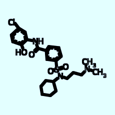 CN(C)CCCN(C1CCCCC1)S(=O)(=O)c1cccc(C(=O)Nc2cc(Cl)ccc2O)c1